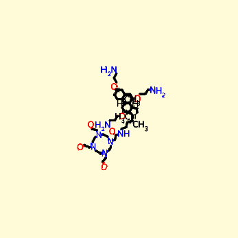 C[C@H](CCCNC(=O)CN1CCN(CC=O)CCN(CC=O)CCN(CC=O)CC1)[C@H]1CC[C@H]2C3[C@H](OCCCN)CC4C[C@H](OCCCN)CCC4(C)[C@H]3C[C@H](OCCCN)[C@]12C